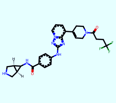 O=C(NC1[C@H]2CNC[C@@H]12)c1ccc(Nc2nc3c(C4=CCN(C(=O)CCC(F)(F)F)CC4)cccn3n2)cc1